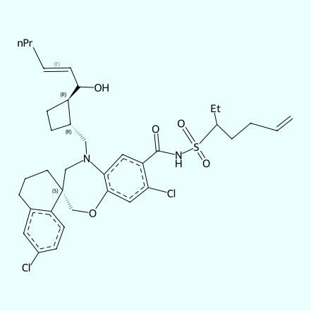 C=CCCC(CC)S(=O)(=O)NC(=O)c1cc2c(cc1Cl)OC[C@]1(CCCc3cc(Cl)ccc31)CN2C[C@@H]1CC[C@H]1C(O)/C=C/CCC